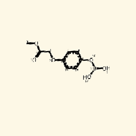 COC(=O)COc1ccc(OB(O)O)cc1